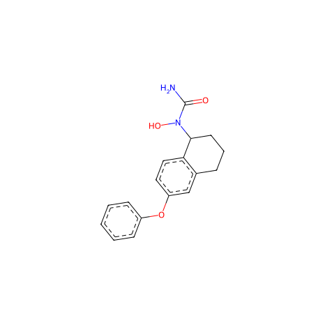 NC(=O)N(O)C1CCCc2cc(Oc3ccccc3)ccc21